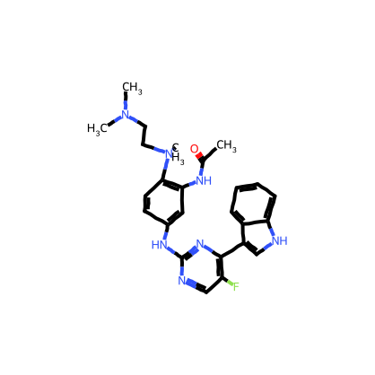 CC(=O)Nc1cc(Nc2ncc(F)c(-c3c[nH]c4ccccc34)n2)ccc1N(C)CCN(C)C